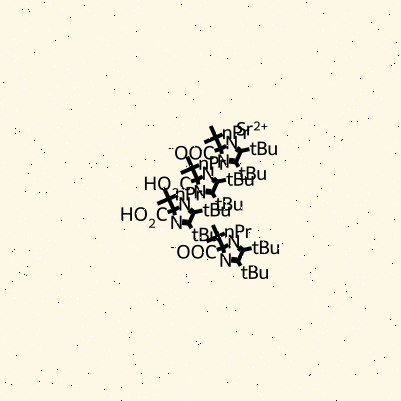 CCCC(C)(C)C1(C(=O)O)N=C(C(C)(C)C)C(C(C)(C)C)=N1.CCCC(C)(C)C1(C(=O)O)N=C(C(C)(C)C)C(C(C)(C)C)=N1.CCCC(C)(C)C1(C(=O)[O-])N=C(C(C)(C)C)C(C(C)(C)C)=N1.CCCC(C)(C)C1(C(=O)[O-])N=C(C(C)(C)C)C(C(C)(C)C)=N1.[Sr+2]